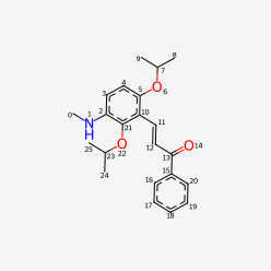 CNc1ccc(OC(C)C)c(C=CC(=O)c2ccccc2)c1OC(C)C